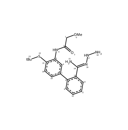 COCC(=O)Nc1cc(-c2ccccc2/C(N)=N/NN)ccc1SC(C)(C)C